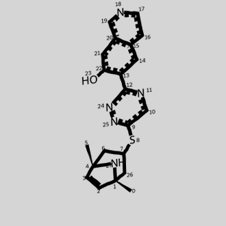 C[C@]12C=C[C@](C)(CC(Sc3cnc(-c4cc5ccncc5cc4O)nn3)C1)N2